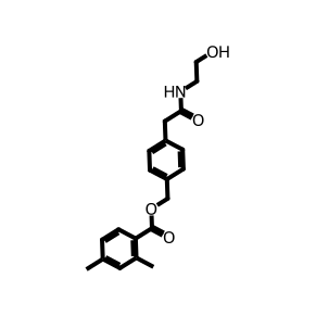 Cc1ccc(C(=O)OCc2ccc(CC(=O)NCCO)cc2)c(C)c1